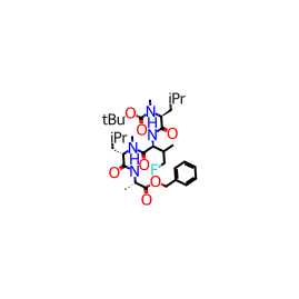 CC(C)C[C@@H](C(=O)N[C@H](C(=O)N(C)[C@@H](CC(C)C)C(=O)N[C@@H](C)C(=O)OCc1ccccc1)C(C)CF)N(C)C(=O)OC(C)(C)C